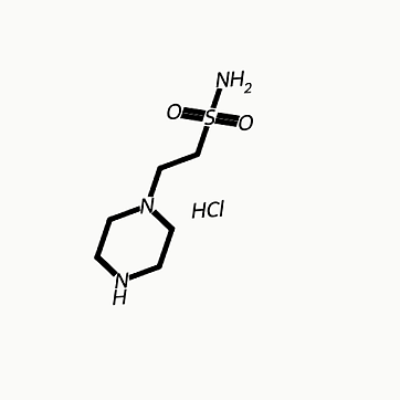 Cl.NS(=O)(=O)CCN1CCNCC1